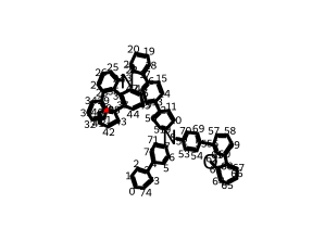 c1ccc(-c2ccc(N(c3ccc(-c4ccc(-c5ccccc5-n5c6cccc(-c7ccccc7)c6c6c(-c7ccccc7)cccc65)cc4)cc3)c3ccc(-c4cccc5c4oc4ccccc45)cc3)cc2)cc1